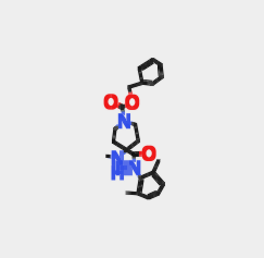 CNC1(C(=O)Nc2c(C)cccc2C)CCN(C(=O)OCc2ccccc2)CC1